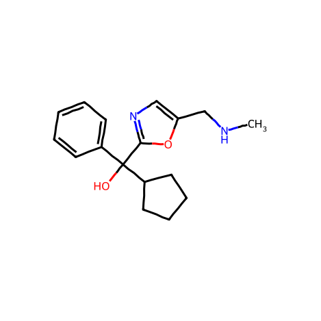 CNCc1cnc(C(O)(c2ccccc2)C2CCCC2)o1